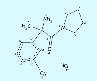 CC(N)(C(=O)N1CCCC1)c1cccc(C#N)c1.Cl